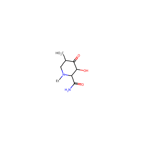 CCN1CC(C(=O)O)C(=O)C(O)C1C(N)=O